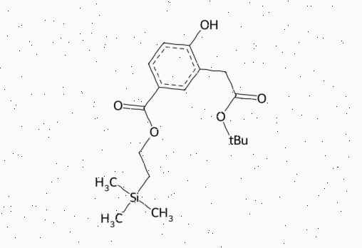 CC(C)(C)OC(=O)Cc1cc(C(=O)OCC[Si](C)(C)C)ccc1O